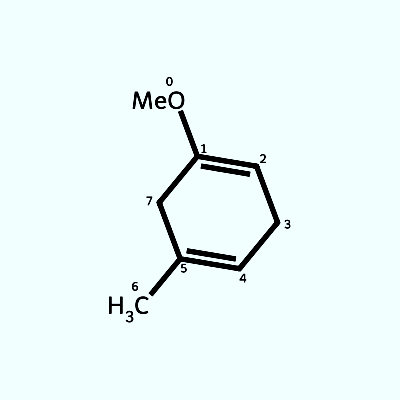 COC1=CCC=C(C)C1